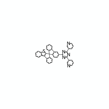 c1cncc(-c2nc(-c3cccnc3)nc(-c3ccc4c(c3)-c3ccccc3C43c4ccccc4-c4c3sc3ccccc43)n2)c1